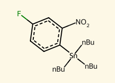 CCC[CH2][Sn]([CH2]CCC)([CH2]CCC)[c]1ccc(F)cc1[N+](=O)[O-]